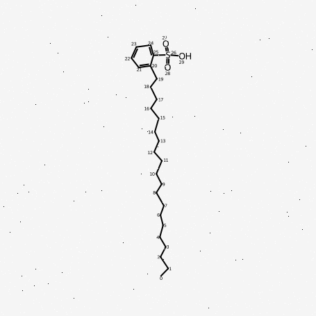 CCCCCCCCCCCCCCCCCCCCc1ccccc1S(=O)(=O)O